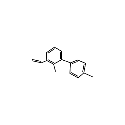 C=Cc1cccc(-c2ccc(C)cc2)c1C